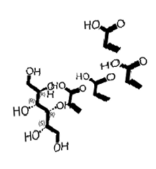 C=CC(=O)O.C=CC(=O)O.C=CC(=O)O.C=CC(=O)O.OC[C@@H](O)[C@@H](O)[C@H](O)[C@@H](O)CO